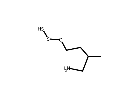 CC(CN)CCOSS